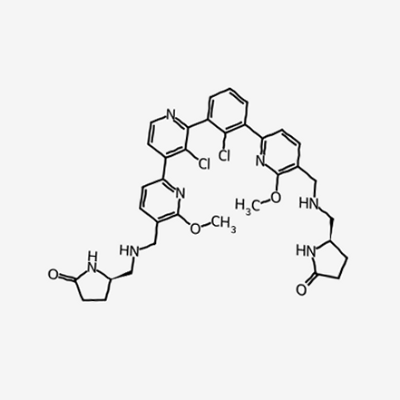 COc1nc(-c2cccc(-c3nccc(-c4ccc(CNC[C@H]5CCC(=O)N5)c(OC)n4)c3Cl)c2Cl)ccc1CNC[C@H]1CCC(=O)N1